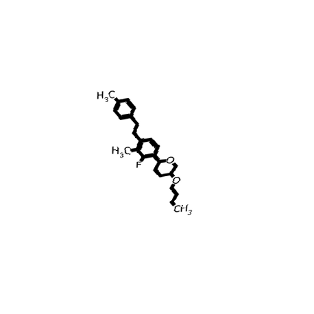 CCCCOC1CCC(c2ccc(CCc3ccc(C)cc3)c(C)c2F)OC1